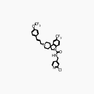 O=C(NCc1ccnc(Cl)c1)N1CC2(CCN(CC=Cc3ccc(OC(F)(F)F)cc3)CC2)c2cc(C(F)(F)F)ccc21